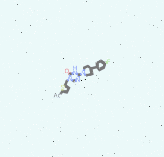 CC(=O)c1ccc(CN2C=NC(N3CC=C(c4ccc(F)cc4)CC3)NC2=O)s1